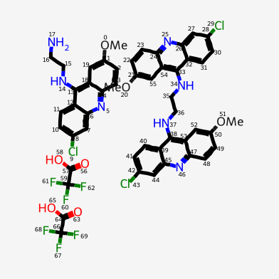 COc1ccc2nc3cc(Cl)ccc3c(NCCN)c2c1.COc1ccc2nc3cc(Cl)ccc3c(NCCNc3c4ccc(Cl)cc4nc4ccc(OC)cc34)c2c1.O=C(O)C(F)(F)F.O=C(O)C(F)(F)F